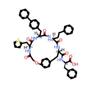 O=C1COc2ccc(cc2)C[C@@H](C(=O)N[C@H](Cc2ccccc2)C(=O)O)NC(=O)[C@H](CCc2ccccc2)NC(=O)[C@@H](Cc2ccc(-c3ccccc3)cc2)NC(=O)[C@H](Cc2cccs2)N1